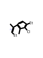 CC/C=C(/C)c1ccc(CC)c(Cl)c1C